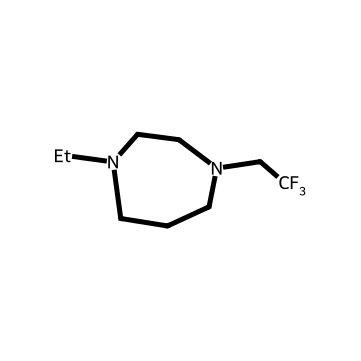 CCN1CCCN(CC(F)(F)F)CC1